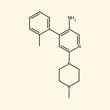 Cc1ccccc1-c1cc(N2CCN(C)CC2)ncc1N